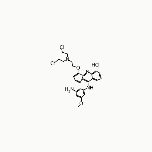 COc1cc(N)cc(Nc2c3ccccc3nc3c(OCCN(CCCl)CCCl)cccc23)c1.Cl